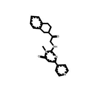 Cn1c(NCC(=O)C2CCc3ccccc3C2)nc(-c2ccncc2)cc1=O